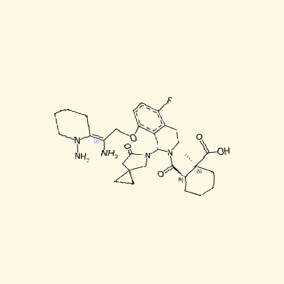 C[C@]1(C(=O)O)CCCC[C@H]1C(=O)N1CCc2c(F)ccc(OC/C(N)=C3\CCCCN3N)c2C1N1CC2(CC2)CC1=O